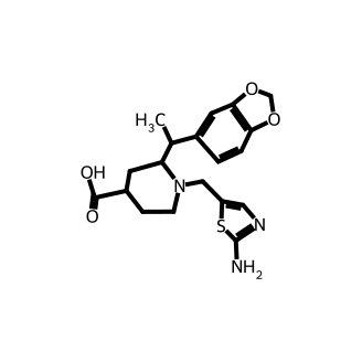 CC(c1ccc2c(c1)OCO2)C1CC(C(=O)O)CCN1Cc1cnc(N)s1